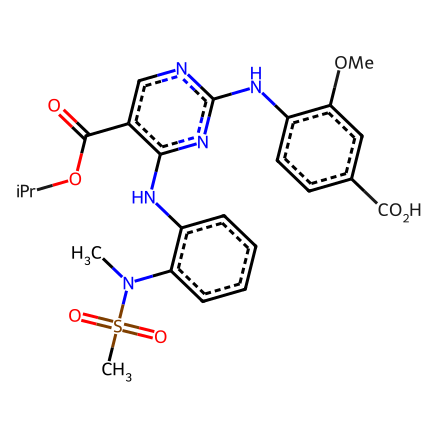 COc1cc(C(=O)O)ccc1Nc1ncc(C(=O)OC(C)C)c(Nc2ccccc2N(C)S(C)(=O)=O)n1